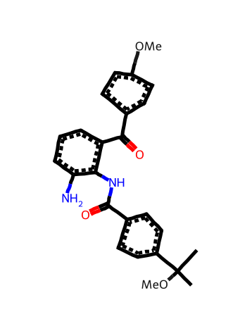 COc1ccc(C(=O)c2cccc(N)c2NC(=O)c2ccc(C(C)(C)OC)cc2)cc1